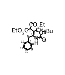 CCOC(=O)C(C(=O)OCC)C(C)C(Cc1ccccc1)NC(=O)OC(C)(C)C